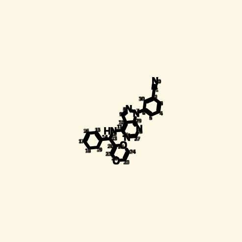 N#Cc1cccc(-n2ncc3c(NC(C4=CC=CCC4)C4=COC=CO4)ncnc32)c1